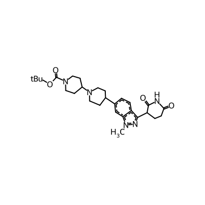 Cn1nc(C2CCC(=O)NC2=O)c2ccc(C3CCN(C4CCN(C(=O)OC(C)(C)C)CC4)CC3)cc21